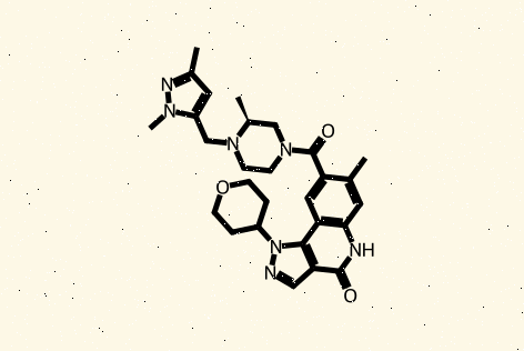 Cc1cc(CN2CCN(C(=O)c3cc4c(cc3C)[nH]c(=O)c3cnn(C5CCOCC5)c34)C[C@@H]2C)n(C)n1